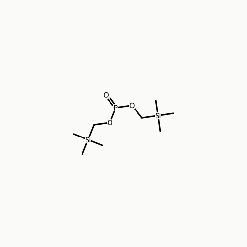 C[Si](C)(C)CO[P](=O)OC[Si](C)(C)C